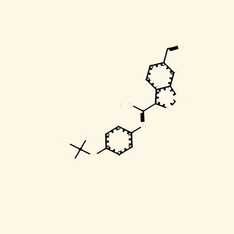 N/C(=N\c1ccc(OC(F)(F)F)cc1)c1nsc2cc(C=O)ccc12